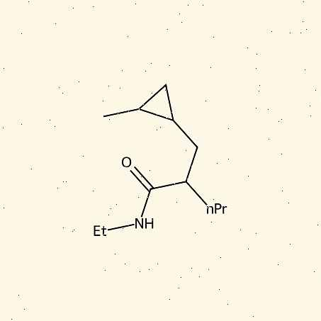 CCCC(CC1CC1C)C(=O)NCC